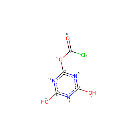 O=C(Cl)Oc1nc(O)nc(O)n1